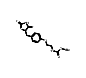 CC(C)(C)OC(=O)NCCOc1ccc(CC2SC(=O)NC2=O)cc1